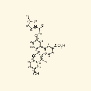 CC1=C(c2ccc(C(=O)O)cc2)C(c2ccc(OC[C@H](C)N3CC[C@@H](C)C3)cc2)Oc2ccc(O)cc21